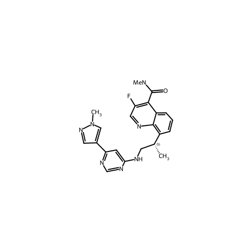 CNC(=O)c1c(F)cnc2c([C@H](C)CNc3cc(-c4cnn(C)c4)ncn3)cccc12